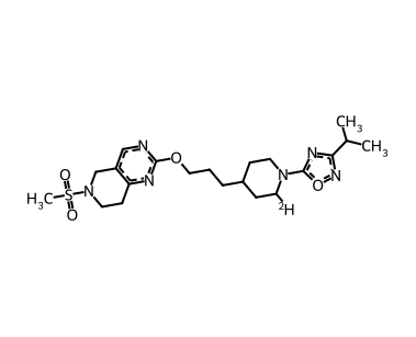 [2H]C1CC(CCCOc2ncc3c(n2)CCN(S(C)(=O)=O)C3)CCN1c1nc(C(C)C)no1